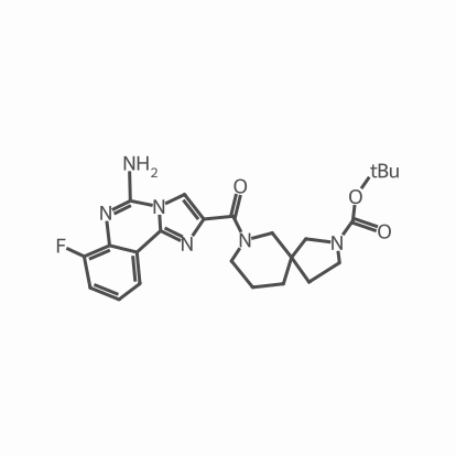 CC(C)(C)OC(=O)N1CCC2(CCCN(C(=O)c3cn4c(N)nc5c(F)cccc5c4n3)C2)C1